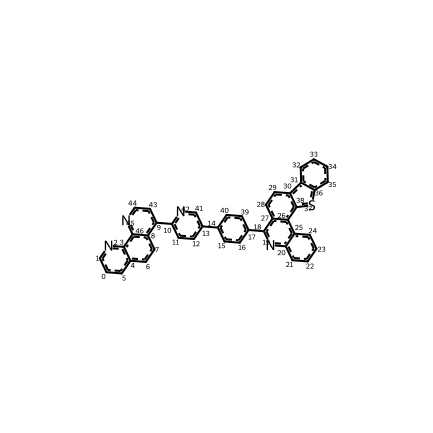 c1cnc2c(c1)ccc1c(-c3ccc(-c4ccc(-c5nc6ccccc6c6c5ccc5c7ccccc7sc56)cc4)cn3)ccnc12